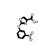 O=C(O)c1coc(Oc2cccc([N+](=O)[O-])c2)n1